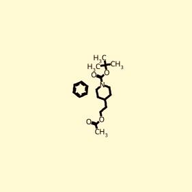 CC(=O)OCCC1CCN(C(=O)OC(C)(C)C)CC1.c1ccccc1